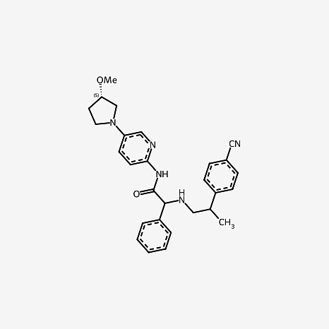 CO[C@H]1CCN(c2ccc(NC(=O)C(NCC(C)c3ccc(C#N)cc3)c3ccccc3)nc2)C1